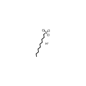 CCCCCCCCCC[Si](Cl)(Cl)Cl.[H+]